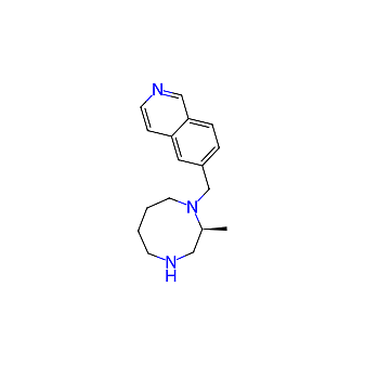 C[C@H]1CNCCCCN1Cc1ccc2cnccc2c1